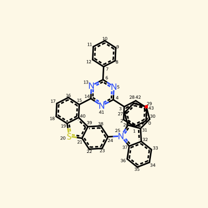 c1ccc(-c2nc(-c3ccccc3)nc(-c3cccc4sc5ccc(-n6c7ccccc7c7ccccc76)cc5c34)n2)cc1